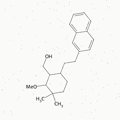 COC1C(CO)C(CCc2ccc3ccccc3c2)CCC1(C)C